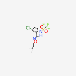 CC(C)=CCO/N=C(\C)c1cc(Cl)ccc1NS(=O)(=O)C(F)(F)F